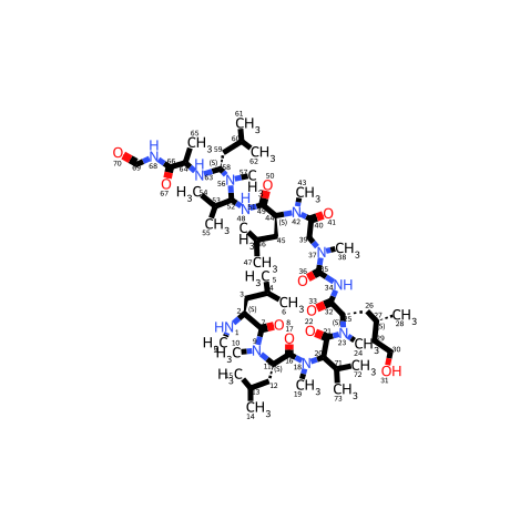 CN[C@@H](CC(C)C)C(=O)N(C)[C@@H](CC(C)C)C(=O)N(C)C(C(=O)N(C)[C@@H](C[C@H](C)CCO)C(=O)NC(=O)N(C)CC(=O)N(C)[C@@H](CC(C)C)C(=O)NC(C(C)C)N(C)[C@@H](CC(C)C)NC(C)C(=O)NC=O)C(C)C